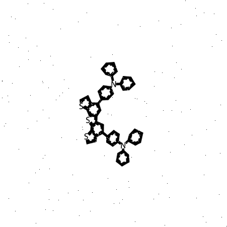 c1ccc(N(c2ccccc2)c2ccc(-c3cc4c5cc(-c6ccc(N(c7ccccc7)c7ccccc7)cc6)c6ccsc6c5sc4c4sccc34)cc2)cc1